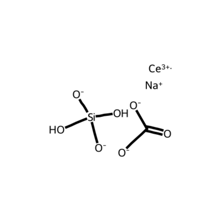 O=C([O-])[O-].[Ce+3].[Na+].[O-][Si]([O-])(O)O